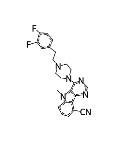 Cn1c2cccc(C#N)c2c2ncnc(N3CCN(CCc4ccc(F)c(F)c4)CC3)c21